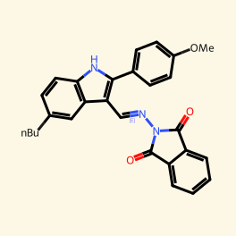 CCCCc1ccc2[nH]c(-c3ccc(OC)cc3)c(/C=N/N3C(=O)c4ccccc4C3=O)c2c1